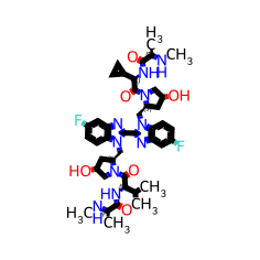 CN[C@H](C)C(=O)N[C@@H](C(=O)N1CC(O)C[C@H]1Cn1c(-c2nc3cc(F)ccc3n2C[C@@H]2CC(O)CN2C(=O)[C@H](NC(=O)[C@@H](C)NC)C2CC2)nc2cc(F)ccc21)C(C)C